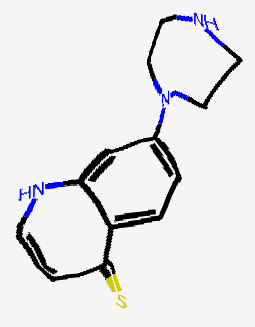 S=c1cc[nH]c2cc(N3CCNCC3)ccc12